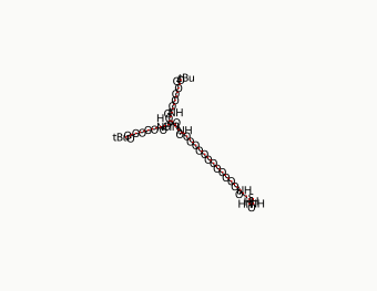 CC(C)(C)OC(=O)CCOCCOCCOCCOCCNC(=O)COc1cc(OCC(=O)NCCOCCOCCOCCOCCC(=O)OC(C)(C)C)cc(C(=O)NCCNC(=O)CCOCCOCCOCCOCCOCCOCCOCCOCCOCCOCCOCCOCCNC(=O)CCCC[C@@H]2SC[C@@H]3NC(=O)N[C@@H]32)c1